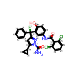 NC(=O)n1nc(C(F)(c2ccccc2)c2cc(NC(=O)c3c(Cl)cccc3Cl)ccc2O)cc1C1CC1